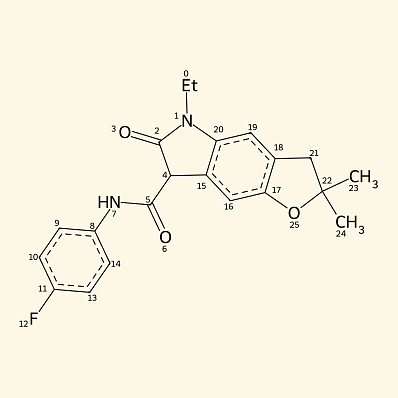 CCN1C(=O)C(C(=O)Nc2ccc(F)cc2)c2cc3c(cc21)CC(C)(C)O3